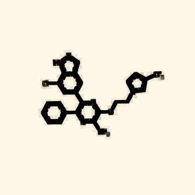 Nc1nc(-c2ccccc2)c(-c2cc(Cl)c3[nH]ncc3c2)nc1OCCn1ccc(C(F)(F)F)c1